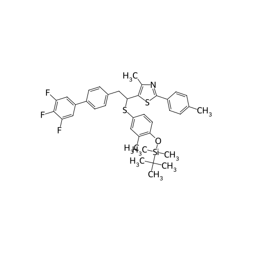 Cc1ccc(-c2nc(C)c(C(Cc3ccc(-c4cc(F)c(F)c(F)c4)cc3)Sc3ccc(O[Si](C)(C)C(C)(C)C)c(C)c3)s2)cc1